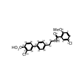 COc1ccc(Cl)cc1C(=O)NCCc1ccc(-c2ccc(C(=O)O)c(Cl)c2)cc1